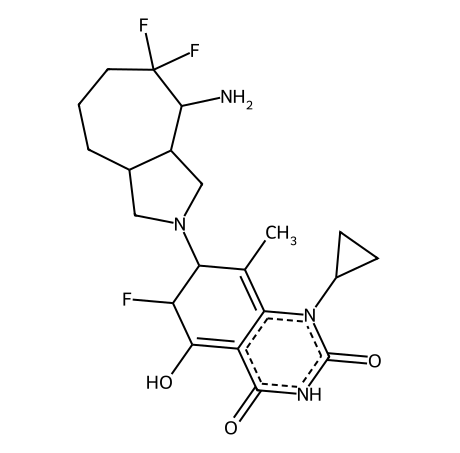 CC1=c2c(c(=O)[nH]c(=O)n2C2CC2)=C(O)C(F)C1N1CC2CCCC(F)(F)C(N)C2C1